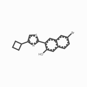 Oc1cc2ccc(Br)cc2cc1-c1nc(C2CCC2)cs1